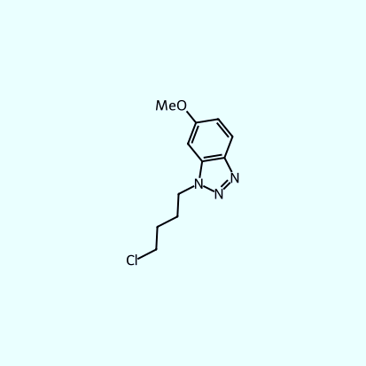 COc1ccc2nnn(CCCCCl)c2c1